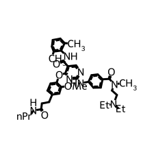 CCCNC(=O)CCc1ccc(Oc2nc(Nc3ccc(C(=O)N(C)CCN(CC)CC)cc3)ncc2C(=O)Nc2c(C)cccc2C)c(OC)c1